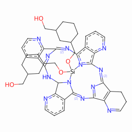 OCC1CCCC(CO[Si]2(OCC3CCCC(CO)C3)N3/C4=N\C5=NC(=N\c6c7ncccc7c(n62)/N=C2\N=C(NC3c3ncccc34)c3cccnc32)/C2=C5N=CCC2)C1